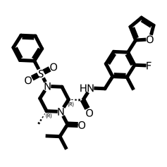 Cc1c(CNC(=O)[C@H]2CN(S(=O)(=O)c3ccccc3)C[C@@H](C)N2C(=O)C(C)C)ccc(-c2ccco2)c1F